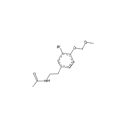 COCOc1ccc(CCNC(C)=O)cc1Br